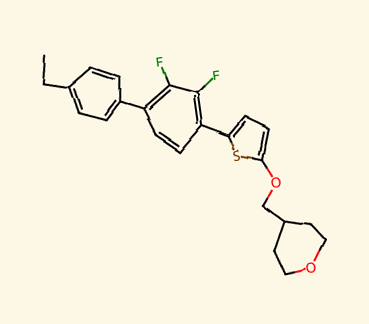 CCc1ccc(-c2ccc(-c3ccc(OCC4CCOCC4)s3)c(F)c2F)cc1